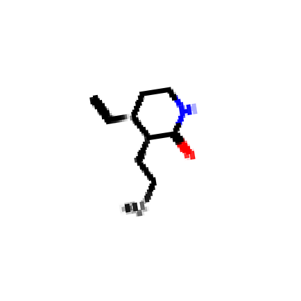 C=C[C@H]1CCNC(=O)[C@H]1CCC(=O)O